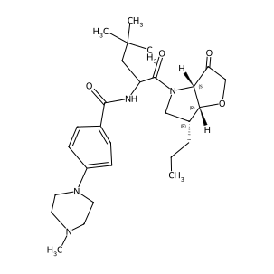 CCC[C@@H]1CN(C(=O)C(CC(C)(C)C)NC(=O)c2ccc(N3CCN(C)CC3)cc2)[C@@H]2C(=O)CO[C@H]12